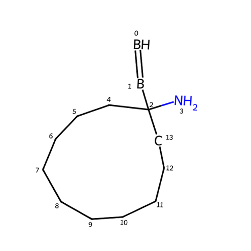 B=BC1(N)CCCCCCCCCC1